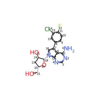 Nc1ncnc2c1c(-c1ccc(F)c(Cl)c1)cn2[C@@H]1O[C@H](CO)C[C@H]1O